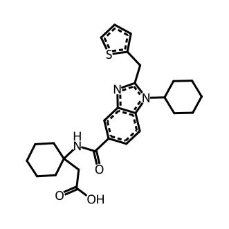 O=C(O)CC1(NC(=O)c2ccc3c(c2)nc(Cc2cccs2)n3C2CCCCC2)CCCCC1